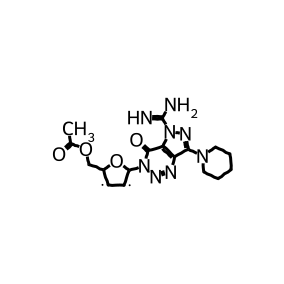 CC(=O)OCC1[CH][CH]C(n2nnc3c(N4CCCCC4)nn(C(=N)N)c3c2=O)O1